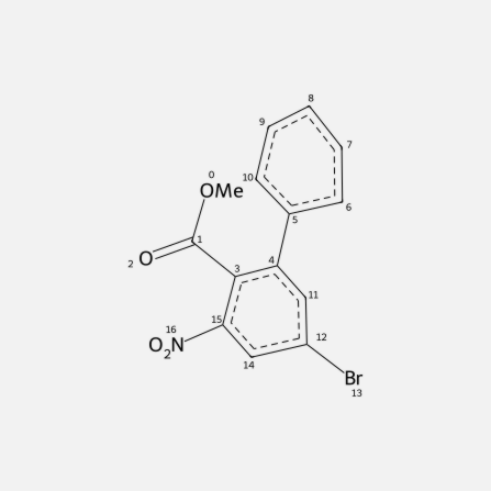 COC(=O)c1c(-c2ccccc2)cc(Br)cc1[N+](=O)[O-]